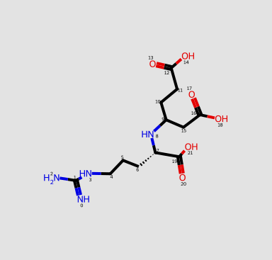 N=C(N)NCCC[C@H](NC(CCC(=O)O)CC(=O)O)C(=O)O